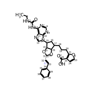 CCNC(=O)Nc1ncnc2c1ncn2C1CC(CCCc2occc2C(=O)O)C2O[C@H](/C=C/c3ccccc3)OC21